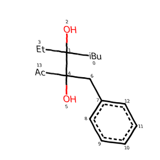 CCC(C)C(O)(CC)C(O)(Cc1ccccc1)C(C)=O